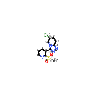 CCCS(=O)(=O)c1ncccc1-c1nnc2ccc(Cl)cn12